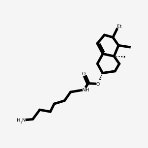 CCC1CC=C2C[C@@H](OC(=O)NCCCCCCN)CC[C@]2(C)C1C